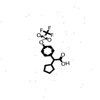 O=C(O)C(c1ccc(OS(=O)(=O)C(F)(F)F)cc1)C1CCCC1